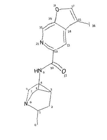 CC1CC2CCN1CC2NC(=O)c1cc2c(I)coc2cn1